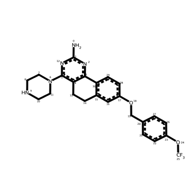 Nc1nc2c(c(N3CCNCC3)n1)CCc1cc(OCc3ccc(OC(F)(F)F)cc3)ccc1-2